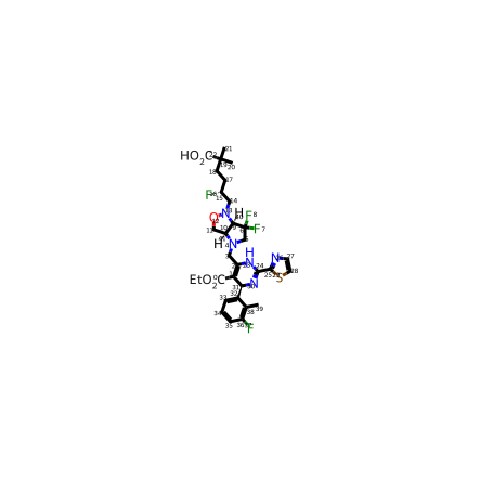 CCOC(=O)C1=C(CN2CC(F)(F)[C@H]3[C@@H]2CON3C[C@H](F)CCC(C)(C)C(=O)O)NC(c2nccs2)=N[C@H]1c1cccc(F)c1C